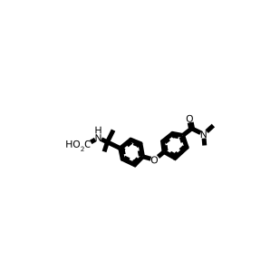 CN(C)C(=O)c1ccc(Oc2ccc(C(C)(C)NC(=O)O)cc2)cc1